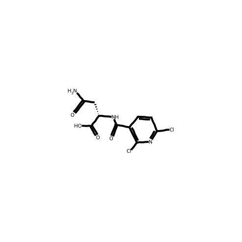 NC(=O)C[C@H](NC(=O)c1ccc(Cl)nc1Cl)C(=O)O